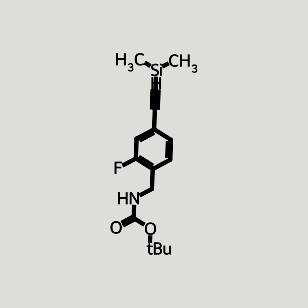 C[SiH](C)C#Cc1ccc(CNC(=O)OC(C)(C)C)c(F)c1